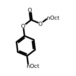 CCCCCCCCOC(=O)Oc1ccc(CCCCCCCC)cc1